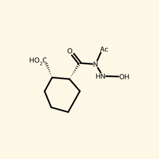 CC(=O)N(NO)C(=O)[C@@H]1CCCC[C@@H]1C(=O)O